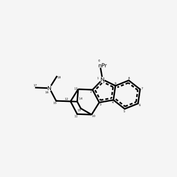 CCCn1c2c(c3ccccc31)C1CCC2C(CN(C)C)C1